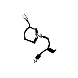 C=C(C#N)CN1CCCC(Cl)C1